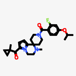 CC(C)Oc1ccc(C(=O)N2CCC3(CC2)c2ccc(C(=O)C4(C)CC4)n2CCN3C)c(F)c1